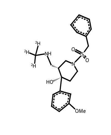 [2H]C([2H])([2H])NC[C@@H]1CN(S(=O)(=O)Cc2ccccc2)CC[C@@]1(O)c1cccc(OC)c1